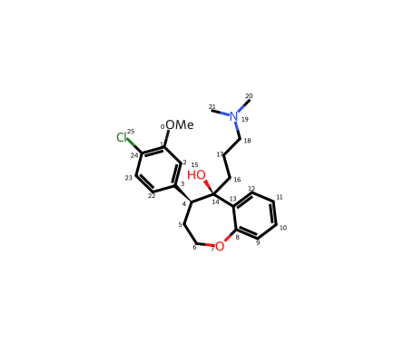 COc1cc([C@@H]2CCOc3ccccc3[C@@]2(O)CCCN(C)C)ccc1Cl